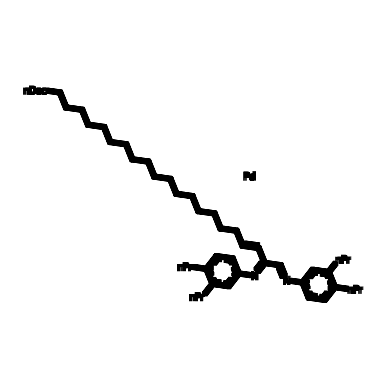 CCCCCCCCCCCCCCCCCCCCCCCCCCCC=CC(C=Nc1ccc(CCC)c(CCC)c1)=Nc1ccc(CCC)c(CCC)c1.[Pd]